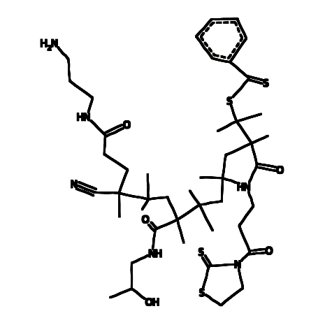 CC(O)CNC(=O)C(C)(CC(C)(C)C(C)(C#N)CCC(=O)NCCCN)C(C)(C)CC(C)(C)CC(C)(C(=O)NCCC(=O)N1CCSC1=S)C(C)(C)SC(=S)c1ccccc1